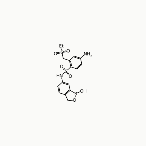 CCS(=O)(=O)Cc1cc(N)ccc1S(=O)(=O)Nc1ccc2c(c1)B(O)OC2